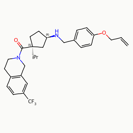 C=CCOc1ccc(CN[C@@H]2CC[C@@](C(=O)N3CCc4ccc(C(F)(F)F)cc4C3)(C(C)C)C2)cc1